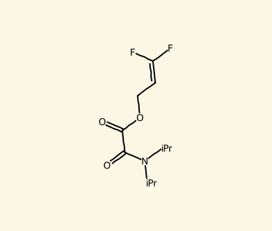 CC(C)N(C(=O)C(=O)OCC=C(F)F)C(C)C